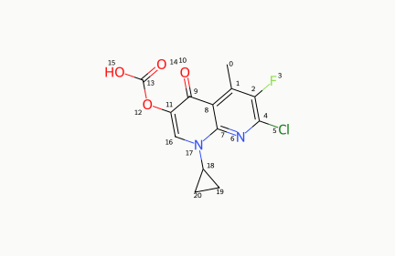 Cc1c(F)c(Cl)nc2c1c(=O)c(OC(=O)O)cn2C1CC1